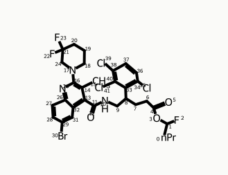 CCCC(F)OC(=O)CCC(CNC(=O)c1c(C)c(N2CCCC(F)(F)C2)nc2ccc(Br)cc12)c1c(Cl)ccc(Cl)c1Cl